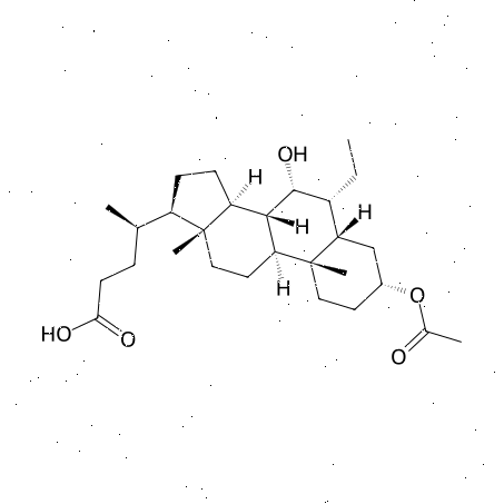 CC[C@H]1[C@@H](O)[C@@H]2[C@H](CC[C@]3(C)[C@@H]([C@H](C)CCC(=O)O)CC[C@@H]23)[C@@]2(C)CC[C@@H](OC(C)=O)C[C@@H]12